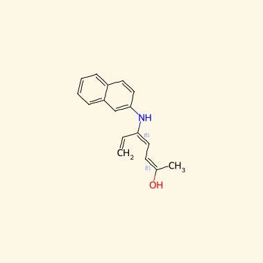 C=C/C(=C\C=C(/C)O)Nc1ccc2ccccc2c1